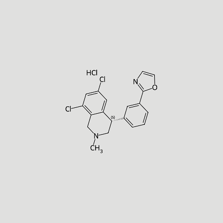 CN1Cc2c(Cl)cc(Cl)cc2[C@H](c2cccc(-c3ncco3)c2)C1.Cl